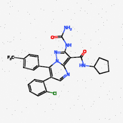 NC(=O)Nc1nn2c(-c3ccc(C(F)(F)F)cc3)c(-c3ccccc3Cl)cnc2c1C(=O)NC1CCCC1